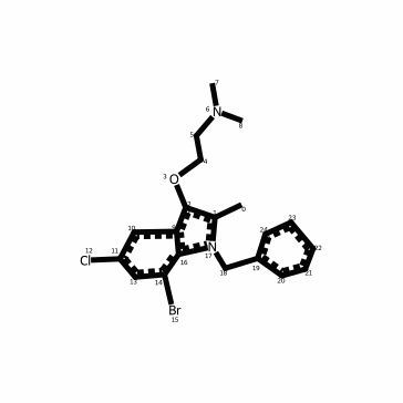 Cc1c(OCCN(C)C)c2cc(Cl)cc(Br)c2n1Cc1ccccc1